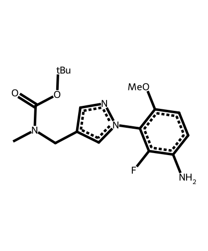 COc1ccc(N)c(F)c1-n1cc(CN(C)C(=O)OC(C)(C)C)cn1